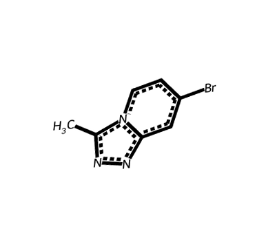 Cc1nnc2cc(Br)ccn12